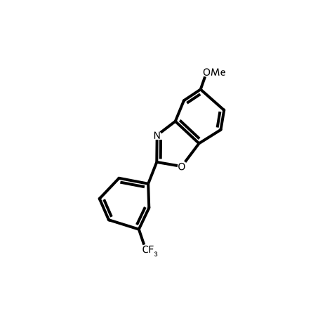 COc1ccc2oc(-c3cccc(C(F)(F)F)c3)nc2c1